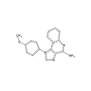 COc1ccc(-n2cnc3c(N)nc4ccccc4c32)cc1